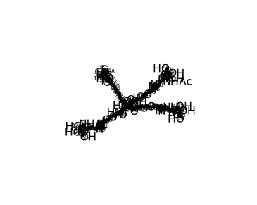 CC(=O)N[C@H]1[C@H](OCCCc2cn(CCOCCOCCNC(=O)CCC(CCC(=O)NCCOCCOCCn3cc(CCCO[C@@H]4O[C@H](CO)[C@H](O)[C@H](O)[C@H]4NC(C)=O)nn3)(CCC(=O)NCCOCCOCCn3cc(CCCO[C@@H]4O[C@H](CO)[C@H](O)[C@H](O)[C@H]4NC(C)=O)nn3)NC(=O)CCCCCCCCCCC(=O)Oc3c(F)c(F)c(F)c(F)c3F)nn2)O[C@H](CO)[C@H](O)[C@@H]1O